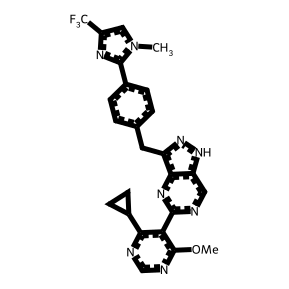 COc1ncnc(C2CC2)c1-c1ncc2[nH]nc(Cc3ccc(-c4nc(C(F)(F)F)cn4C)cc3)c2n1